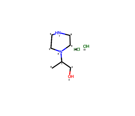 CC(CO)N1CCNCC1.Cl.Cl